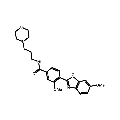 COc1ccc2nc(-c3ccc(C(=O)NCCCN4CCOCC4)cc3OC)[nH]c2c1